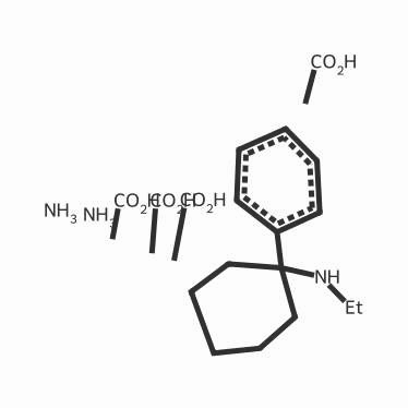 CC(=O)O.CC(=O)O.CC(=O)O.CC(=O)O.CCNC1(c2ccccc2)CCCCC1.N.N